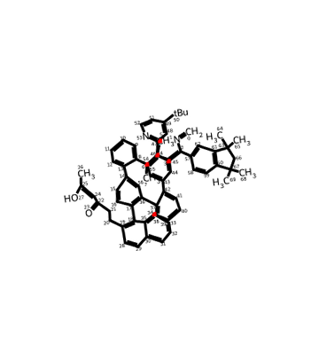 C=N/C(=C\C(C)=C(/C)c1ccccc1-c1ccc(-c2c(CCC(=O)/C=C(/C)O)ccc3ccccc23)c(-c2ccccc2-c2ccc(-c3cc(C(C)(C)C)ccn3)cc2)c1)c1ccc2c(c1)C(C)(C)CC2(C)C